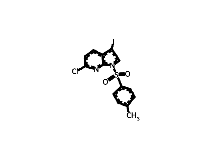 Cc1ccc(S(=O)(=O)n2cc(I)c3ccc(Cl)nc32)cc1